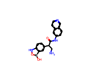 NCC(C(=O)Nc1ccc2cnccc2c1)c1ccc2c(c1)B(O)ON2